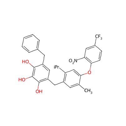 Cc1cc(Cc2cc(Cc3ccccc3)c(O)c(O)c2O)c(C(C)C)cc1Oc1ccc(C(F)(F)F)cc1[N+](=O)[O-]